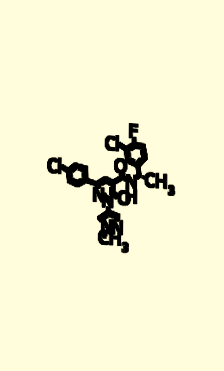 C[C@H](NC(=O)c1cc(-c2ccc(Cl)cc2)nn(-c2cnn(C)c2)c1=O)c1ccc(F)c(Cl)c1